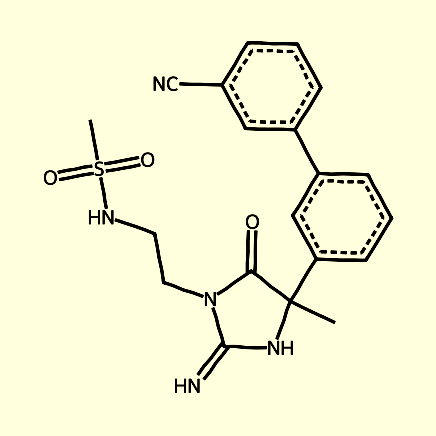 CC1(c2cccc(-c3cccc(C#N)c3)c2)NC(=N)N(CCNS(C)(=O)=O)C1=O